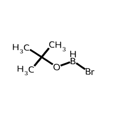 CC(C)(C)OBBr